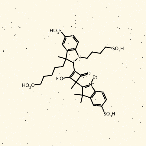 CC[N+]1=C(C2(C)C(=O)C(C3N(CCCCS(=O)(=O)O)c4ccc(S(=O)(=O)O)cc4C3(C)CCCCCC(=O)O)=C2O)C(C)(C)c2cc(S(=O)(=O)O)ccc21